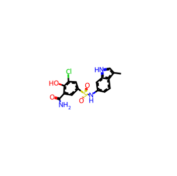 Cc1c[nH]c2cc(NS(=O)(=O)c3cc(Cl)c(O)c(C(N)=O)c3)ccc12